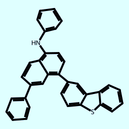 c1ccc(Nc2ccc(-c3ccc4sc5ccccc5c4c3)c3cc(-c4ccccc4)ccc23)cc1